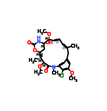 COc1cc2cc(c1Cl)N(C)C(=O)[C@@H](OC)[C@H](C)[C@@H]1C[C@@](O)(NC(=O)O1)[C@H](OC)/C=C/C=C(\C)C2